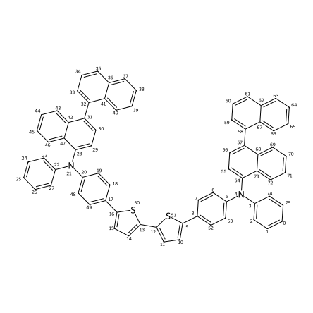 c1ccc(N(c2ccc(-c3ccc(-c4ccc(-c5ccc(N(c6ccccc6)c6ccc(-c7cccc8ccccc78)c7ccccc67)cc5)s4)s3)cc2)c2ccc(-c3cccc4ccccc34)c3ccccc23)cc1